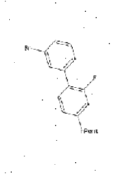 CCCCCc1ccc(-c2cccc(Br)c2)c(F)c1